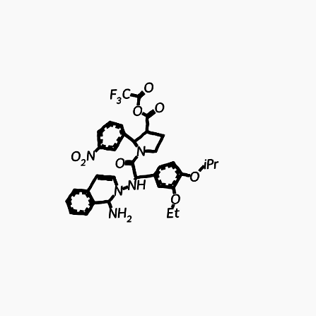 CCOc1cc(C(NN2C=Cc3ccccc3C2N)C(=O)N2CCC(C(=O)OC(=O)C(F)(F)F)C2c2cccc([N+](=O)[O-])c2)ccc1OC(C)C